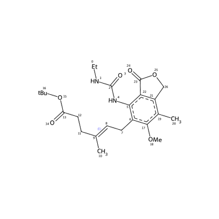 CCNC(=O)Nc1c(C/C=C(\C)CCC(=O)OC(C)(C)C)c(OC)c(C)c2c1C(=O)OC2